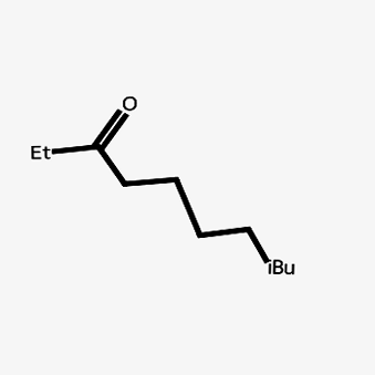 CCC(=O)CCCCC(C)CC